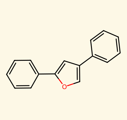 c1ccc(-c2coc(-c3ccccc3)c2)cc1